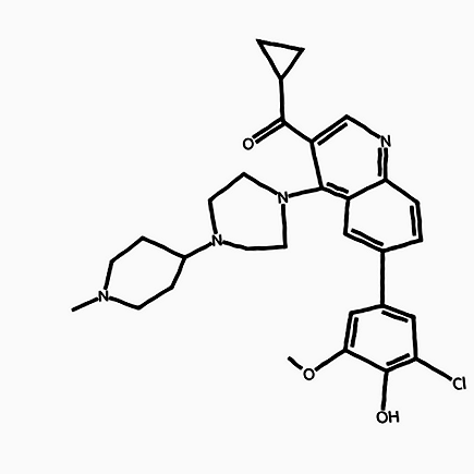 COc1cc(-c2ccc3ncc(C(=O)C4CC4)c(N4CCN(C5CCN(C)CC5)CC4)c3c2)cc(Cl)c1O